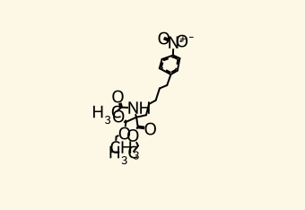 CCOC(=O)C(CCCCCc1ccc([N+](=O)[O-])cc1)(NC(C)=O)C(=O)OCC